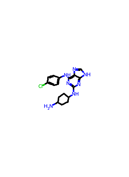 NC1CCC(Nc2nc(Nc3ccc(Cl)cc3)c3nc[nH]c3n2)CC1